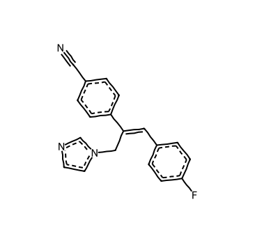 N#Cc1ccc(/C(=C/c2ccc(F)cc2)Cn2ccnc2)cc1